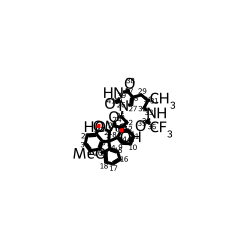 COc1ccccc1C(c1ccccc1)(c1ccccc1OC)C(O)[C@H]1O[C@@H](n2cc(CC(C)CNC(=O)C(F)(F)F)c(=O)[nH]c2=O)C[C@@H]1O